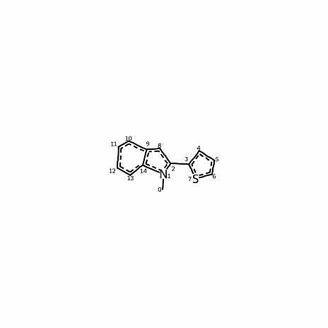 Cn1c(-c2cccs2)cc2ccccc21